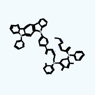 C=C(/C=C\CN(C1=C(C)C=C(C)C(N(C(=C)/C=C\C=C/C)c2ccccc2)C1)c1ccccc1C)c1ccc(-n2c3ccccc3c3cc4c5ccccc5n(-c5ccccc5)c4cc32)cc1